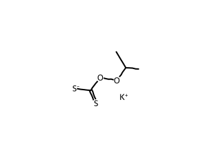 CC(C)OOC(=S)[S-].[K+]